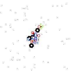 CC1(Cc2ccncc2NS(=O)(=O)Nc2ccccc2)NC(=O)N(c2ccc(OC(F)(F)F)cc2)C1=O